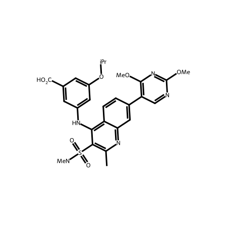 CNS(=O)(=O)c1c(C)nc2cc(-c3cnc(OC)nc3OC)ccc2c1Nc1cc(OC(C)C)cc(C(=O)O)c1